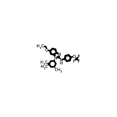 CCOc1ccc2nc(Nc3ccc(OC(F)(F)F)cc3)n([C@H]3C[C@@H](C)CC(C)(C)C3)c2c1